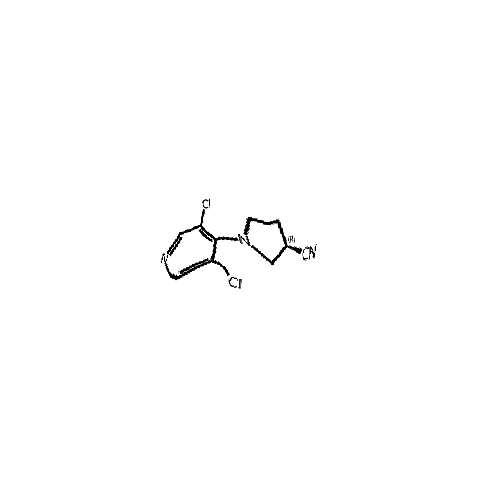 N#C[C@@H]1CCN(c2c(Cl)cncc2Cl)C1